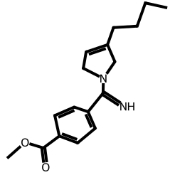 CCCCC1=CCN(C(=N)c2ccc(C(=O)OC)cc2)C1